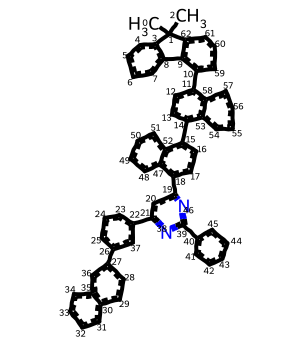 CC1(C)c2ccccc2-c2c(-c3ccc(-c4ccc(-c5cc(-c6cccc(-c7ccc8ccccc8c7)c6)nc(-c6ccccc6)n5)c5ccccc45)c4ccccc34)cccc21